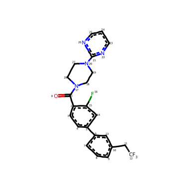 O=C(c1ccc(-c2cccc(CC(F)(F)F)c2)cc1F)N1CCN(c2ncccn2)CC1